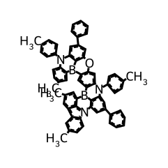 Cc1ccc(N2c3ccc(C)cc3B3c4cc5c(cc4Oc4cc(-c6ccccc6)cc2c43)N(c2ccc(C)cc2)c2cc(-c3ccccc3)cc3c2B5c2cc(C)cc4c5cc(C)ccc5n-3c24)cc1